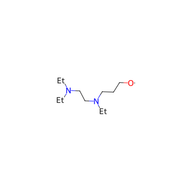 CCN(CC)CCN(CC)CCC[O]